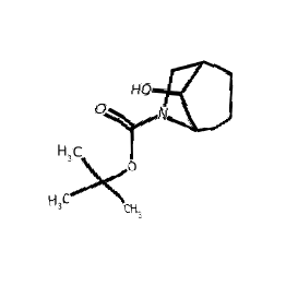 CC(C)(C)OC(=O)N1CC2CCC1C2O